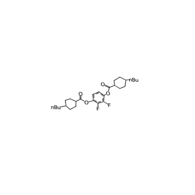 CCCCC1CCC(C(=O)Oc2ccc(OC(=O)C3CCC(CCCC)CC3)c(F)c2F)CC1